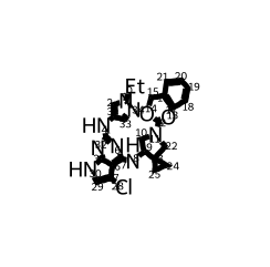 CCn1cc(Nc2nc(NC3CN(C(=O)OCc4ccccc4)CC34CC4)c3c(Cl)c[nH]c3n2)cn1